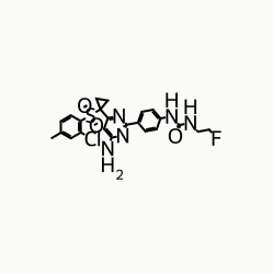 Cc1ccc(S(=O)(=O)C2(c3cc(N)nc(-c4ccc(NC(=O)NCCF)cc4)n3)CC2)c(Cl)c1